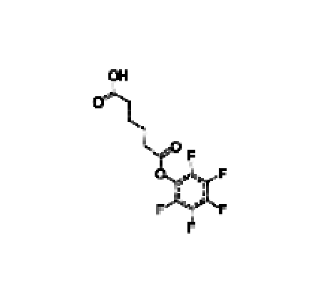 O=C(O)CCCCC(=O)Oc1c(F)c(F)c(F)c(F)c1F